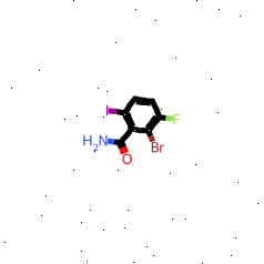 NC(=O)c1c(I)ccc(F)c1Br